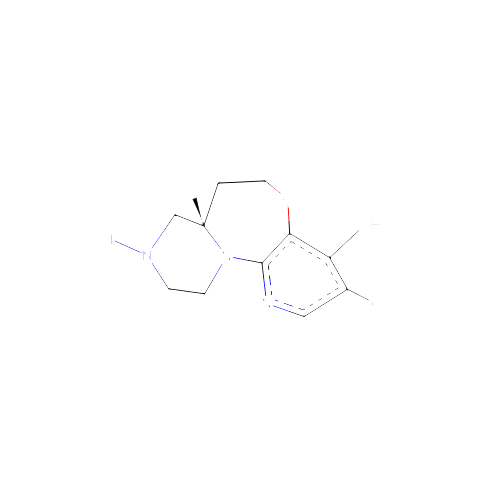 Cc1c(Cl)cnc2c1OCC[C@H]1CN(I)CCN21